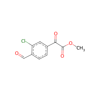 COC(=O)C(=O)c1ccc(C=O)c(Cl)c1